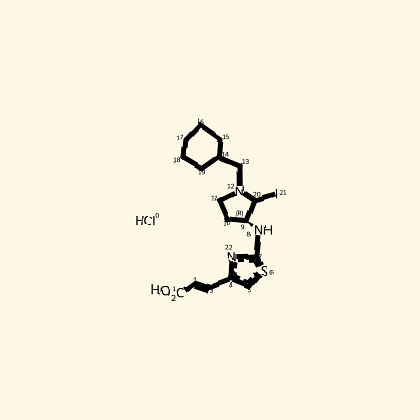 Cl.O=C(O)C=Cc1csc(N[C@@H]2CCN(CC3CCCCC3)C2I)n1